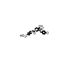 Cc1nn(Cc2ccc(Cl)cc2F)c2c1CCN(C(=O)CN1CC3(CC(C(=O)O)C3)C1)C2